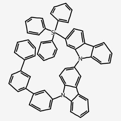 c1ccc(-c2cccc(-c3cccc(-n4c5ccccc5c5cc(-n6c7ccccc7c7ccc([Si](c8ccccc8)(c8ccccc8)c8ccccc8)cc76)ccc54)c3)c2)cc1